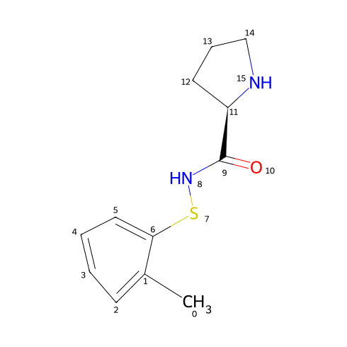 Cc1ccccc1SNC(=O)[C@H]1CCCN1